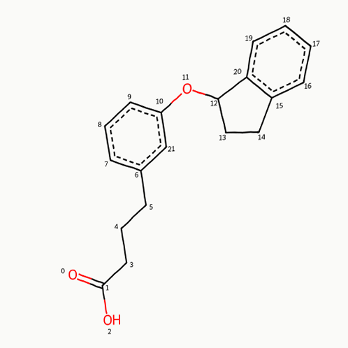 O=C(O)CCCc1cccc(OC2CCc3ccccc32)c1